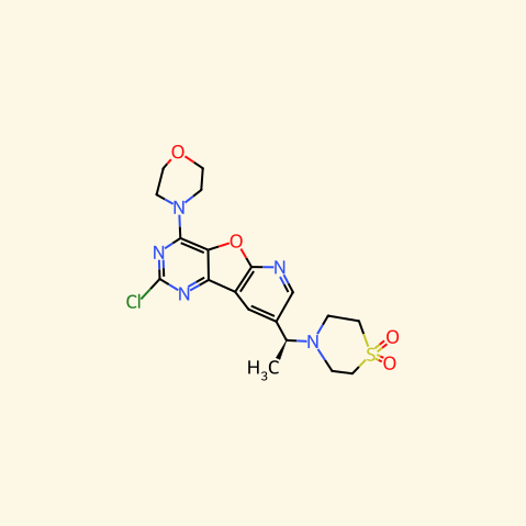 C[C@@H](c1cnc2oc3c(N4CCOCC4)nc(Cl)nc3c2c1)N1CCS(=O)(=O)CC1